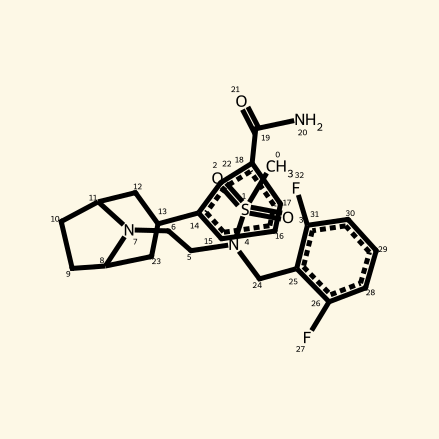 CS(=O)(=O)N(CCN1C2CCC1CC(c1cccc(C(N)=O)c1)C2)Cc1c(F)cccc1F